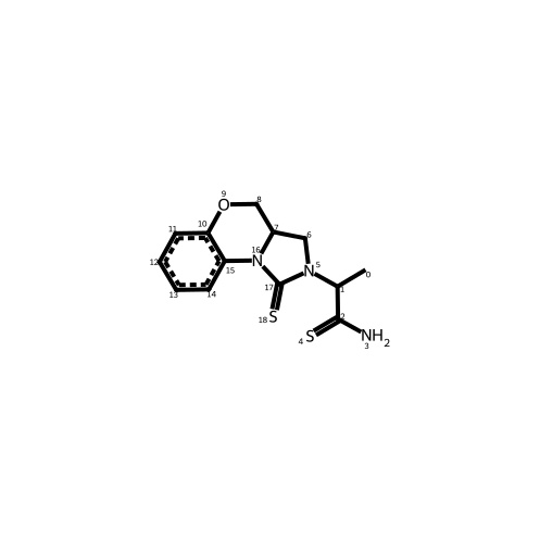 CC(C(N)=S)N1CC2COc3ccccc3N2C1=S